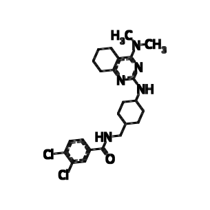 CN(C)c1nc(NC2CCC(CNC(=O)c3ccc(Cl)c(Cl)c3)CC2)nc2c1CCCC2